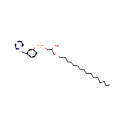 CCCCCCCCCCCCCCCCOCC(COP(=O)(O)Oc1cccc(C[n+]2ccncc2)c1)OC